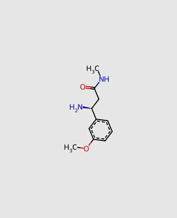 CNC(=O)C[C@H](N)c1cccc(OC)c1